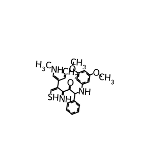 C=CC(=C\NC)/C(=C/S)C(=N)C(=O)C(Nc1cc(OC)cc(OC)c1)c1ccccc1